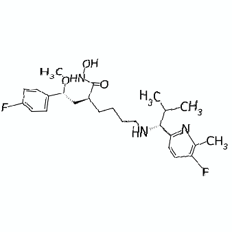 CO[C@H](C[C@H](CCCCN[C@@H](c1ccc(F)c(C)n1)C(C)C)C(=O)NO)c1ccc(F)cc1